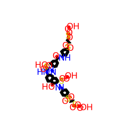 O=C(Nc1ccc(S(=O)(=O)CCOSOOO)cc1)c1ccc(/N=N/c2c(NCS(=O)(=O)O)ccc3c(O)c(/N=N/c4ccc(S(=O)(=O)CCS(=O)OOO)cc4)c(SOOO)cc23)cc1